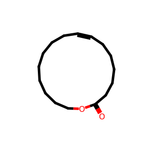 O=C1CCCCCC=CCCCCCCCCO1